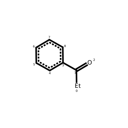 CCC(=O)c1cc[c]cc1